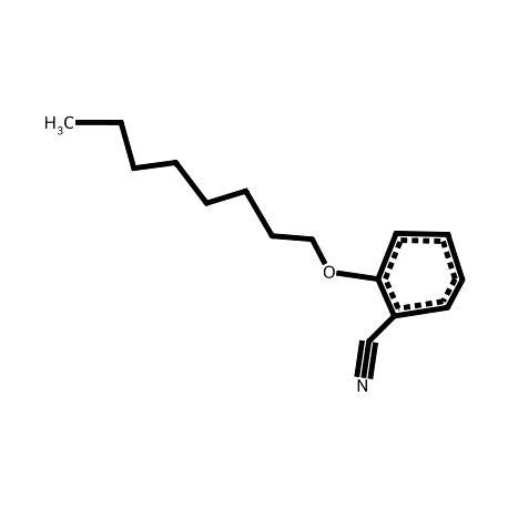 CCCCCCCCOc1ccccc1C#N